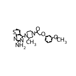 COc1cccc(OCC(=O)N2CCN(c3nc(N)nc4sccc34)C(C)C2)c1